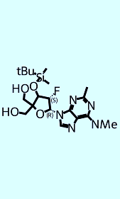 CNc1nc(C)nc2c1ncn2[C@@H]1OC(CO)(CO)C(O[Si](C)(C)C(C)(C)C)[C@@H]1F